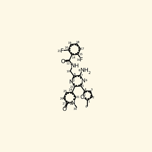 Cc1ccc(-c2nc(N)c(CNC(=O)c3c(F)cccc3F)nc2-c2ccc(=O)n(C)c2)o1